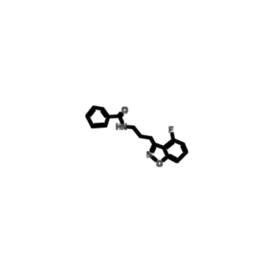 O=C(NCCCc1noc2cccc(F)c12)c1ccccc1